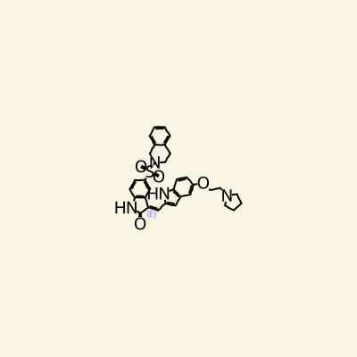 O=C1Nc2ccc(S(=O)(=O)N3CCc4ccccc4C3)cc2/C1=C\c1cc2cc(OCCN3CCCC3)ccc2[nH]1